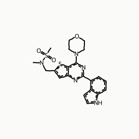 CN(Cc1cc2nc(-c3cccc4[nH]ccc34)nc(N3CCOCC3)c2s1)S(C)(=O)=O